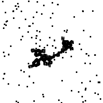 Cc1c(C(=O)NCCOCCOCC2[C@H]3C[C@@H]4C[C@@H](C[C@H]2C4)C3)nn(-c2ccc(Cl)cc2Cl)c1-c1ccc(Cl)cc1